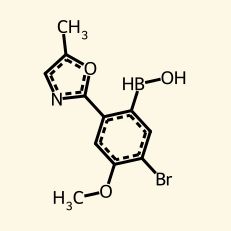 COc1cc(-c2ncc(C)o2)c(BO)cc1Br